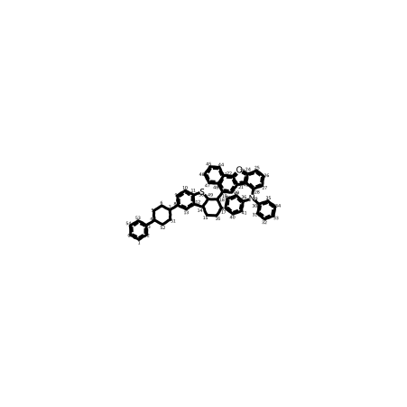 c1ccc(C2CCC(c3ccc4c(c3)C3CCCC(c5cc6c(oc7cccc(N(c8ccccc8)c8ccccc8)c76)c6ccccc56)C3S4)CC2)cc1